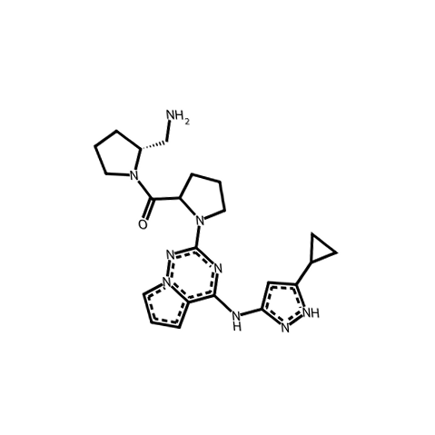 NC[C@H]1CCCN1C(=O)C1CCCN1c1nc(Nc2cc(C3CC3)[nH]n2)c2cccn2n1